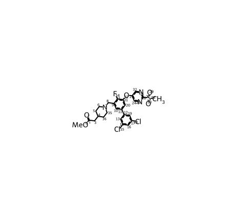 COC(=O)CC1CCN(Cc2cc(-c3cc(Cl)cc(Cl)c3)cc(Oc3cnc(S(C)(=O)=O)nc3)c2F)CC1